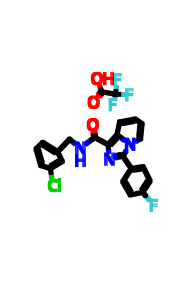 O=C(NCc1cccc(Cl)c1)c1nc(-c2ccc(F)cc2)n2ccccc12.O=C(O)C(F)(F)F